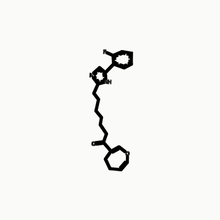 O=C(CCCCCCc1ncc(-c2ccccc2F)[nH]1)C1=COC=CCC1